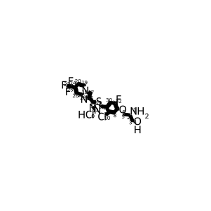 Cl.NC(CO)COc1cc(Cl)c(-c2nnc(-c3cn4ccc(C(F)(F)F)cc4n3)s2)cc1F